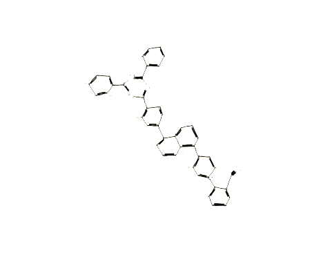 N#Cc1ccccc1-c1ccc(-c2cccc3c(-c4ccc(-c5nc(-c6ccccc6)nc(-c6ccccc6)n5)cc4)cccc23)cc1